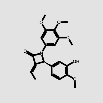 C/C=C1/C(=O)N(c2cc(OC)c(OC)c(OC)c2)[C@H]1c1ccc(OC)c(O)c1